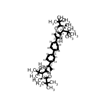 CN(C(=O)C(C)(C)C)[C@H](c1ncc(-c2ccc(-c3ccc(-c4cnc([C@@H](N(C)C(=O)C(C)(C)C)C(C)(C)C)[nH]4)cc3)cc2)[nH]1)C(C)(C)C